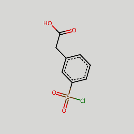 O=C(O)Cc1cccc(S(=O)(=O)Cl)c1